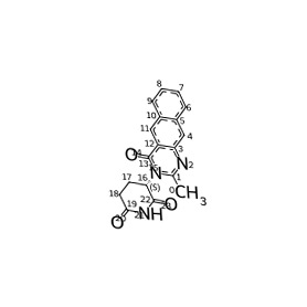 Cc1nc2cc3ccccc3cc2c(=O)n1[C@H]1CCC(=O)NC1=O